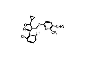 O=Cc1ccc(OCC2C(c3c(Cl)cccc3Cl)=NOC2C2CC2)nc1C(F)(F)F